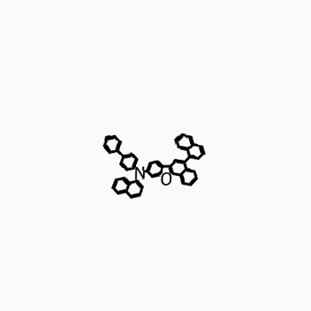 c1ccc(-c2ccc(N(c3ccc4c(c3)oc3c5ccccc5c(-c5cccc6ccccc56)cc43)c3cccc4ccccc34)cc2)cc1